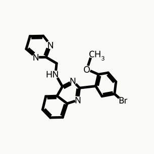 COc1ccc(Br)cc1-c1nc(NCc2ncccn2)c2ccccc2n1